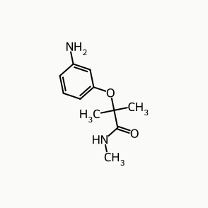 CNC(=O)C(C)(C)Oc1cccc(N)c1